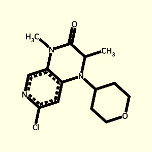 CC1C(=O)N(C)c2cnc(Cl)cc2N1C1CCOCC1